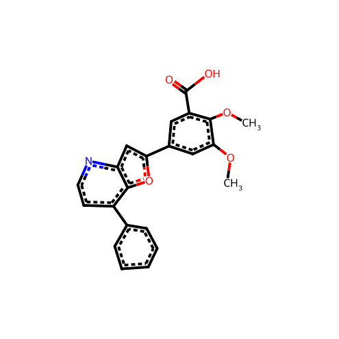 COc1cc(-c2cc3nccc(-c4ccccc4)c3o2)cc(C(=O)O)c1OC